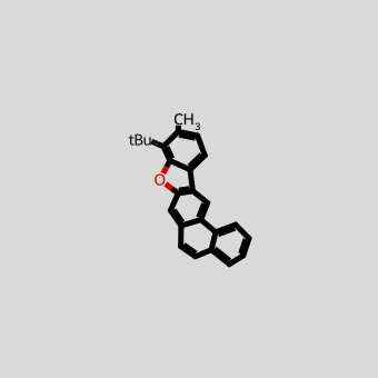 Cc1ccc2c(oc3cc4ccc5ccccc5c4cc32)c1C(C)(C)C